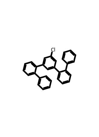 Clc1cc(-c2ccccc2-c2ccccc2)cc(-c2ccccc2-c2ccccc2)c1